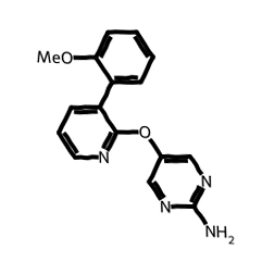 COc1ccccc1-c1cccnc1Oc1cnc(N)nc1